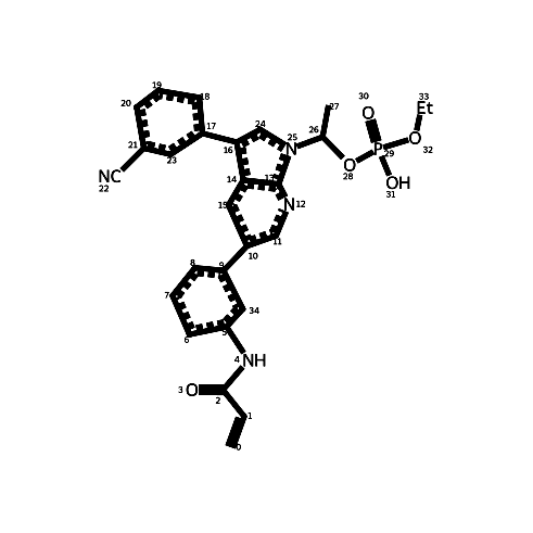 C=CC(=O)Nc1cccc(-c2cnc3c(c2)c(-c2cccc(C#N)c2)cn3C(C)OP(=O)(O)OCC)c1